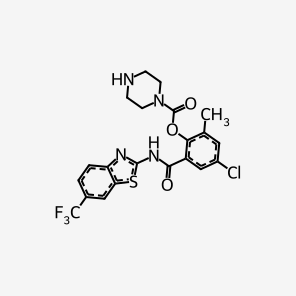 Cc1cc(Cl)cc(C(=O)Nc2nc3ccc(C(F)(F)F)cc3s2)c1OC(=O)N1CCNCC1